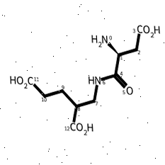 N[C@@H](CC(=O)O)C(=O)NCC(CCC(=O)O)C(=O)O